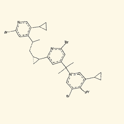 CC(C)c1c(Br)c[n+](C(C)(C)c2cc(Br)nc(C3CC3CC(C)c3cc(Br)ncc3C3CC3)c2)cc1C1CC1